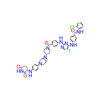 O=C1CCC(Nc2ccc(N3CC4CC(C3)N(C3CCN(C(=O)c5ccc(Nc6ncc(F)c(Nc7ccc(C(=O)Nc8ccccc8Cl)cc7)n6)cc5)CC3)C4)cc2)C(=O)N1